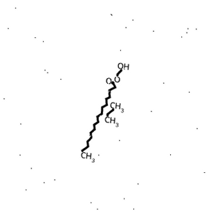 CCCC.CCCCCCCCCCCCCCCCCC(=O)OCCO